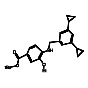 CCOc1cc(C(=O)OC(C)(C)C)ccc1NCc1cc(C2CC2)cc(C2CC2)c1